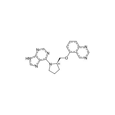 c1cc(OC[C@H]2CCCN2c2ncnc3[nH]cnc23)c2cncnc2c1